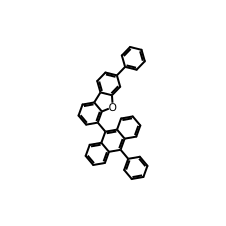 c1ccc(-c2ccc3c(c2)oc2c(-c4c5ccccc5c(-c5ccccc5)c5ccccc45)cccc23)cc1